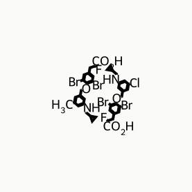 Cc1cc(COc2c(Br)cc(CC(F)C(=O)O)cc2Br)cc(NCC2CC2)c1.O=C(O)C(F)Cc1cc(Br)c(OCc2cc(Cl)cc(NCC3CC3)c2)c(Br)c1